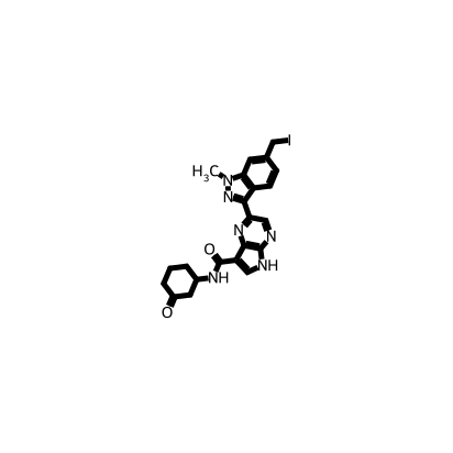 Cn1nc(-c2cnc3[nH]cc(C(=O)NC4CCCC(=O)C4)c3n2)c2ccc(CI)cc21